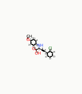 COc1ccc(NC(C#Cc2ccccc2Cl)C(=O)O)cc1